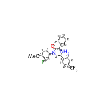 COc1ccc(N(CCc2ccc(C(F)(F)F)cc2)C(=O)C(N)c2ccccc2)cc1F